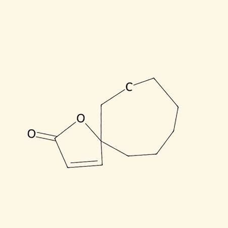 O=C1C=CC2(CCCCCCC2)O1